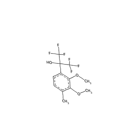 COc1c(C)ccc(C(O)(C(F)(F)F)C(F)(F)F)c1OC